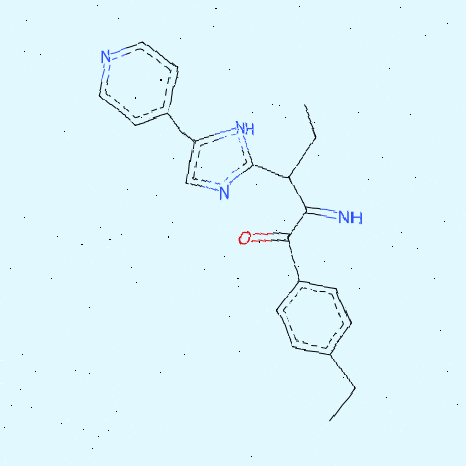 CCc1ccc(C(=O)C(=N)C(CC)c2ncc(-c3ccncc3)[nH]2)cc1